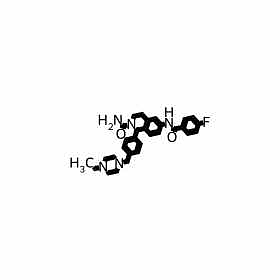 CCN1CCN(Cc2ccc(C3c4ccc(NC(=O)c5ccc(F)cc5)cc4CCN3C(N)=O)cc2)CC1